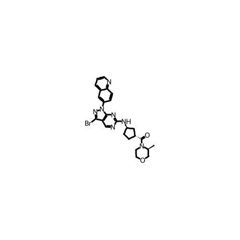 C[C@H]1COCCN1C(=O)[C@@H]1CC[C@@H](Nc2ncc3c(Br)nn(-c4ccc5ncccc5c4)c3n2)C1